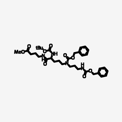 COC(=O)CCCNC(=O)C(CCCN(CCCNC(=O)OCc1ccccc1)C(=O)OCc1ccccc1)NC(=O)OC(C)(C)C